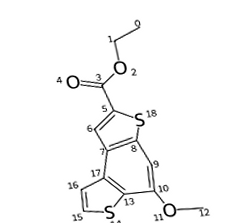 CCOC(=O)c1cc2c(cc(OC)c3sccc32)s1